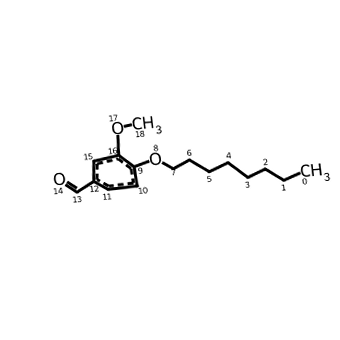 CCCCCCCCOc1ccc(C=O)cc1OC